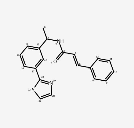 CC(NC(=O)C=Cc1ccccc1)c1cccc(-c2nccs2)c1